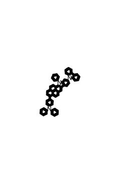 c1ccc(N(c2ccccc2)c2ccc(-c3ccc4ccc5c6c(ccc3c46)cc3c4ccc(-n6c7ccccc7c7ccccc76)cc4n(-c4ccccc4)c35)cc2)cc1